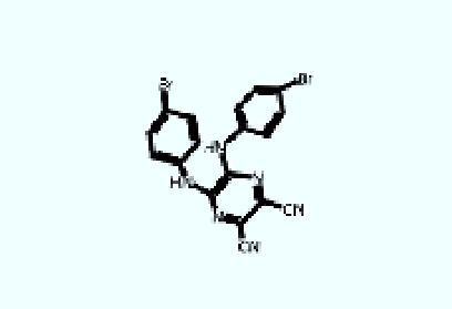 N#Cc1nc(Nc2ccc(Br)cc2)c(Nc2ccc(Br)cc2)nc1C#N